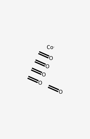 C=O.C=O.C=O.C=O.C=O.[Co]